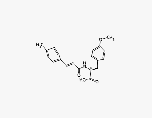 COc1ccc(C[C@H](NC(=O)C=Cc2ccc(C)cc2)C(=O)O)cc1